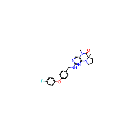 CN1C(=O)C2(C)CCCN2c2nc(NCc3ccc(Oc4ccc(F)cc4)cc3)ncc21